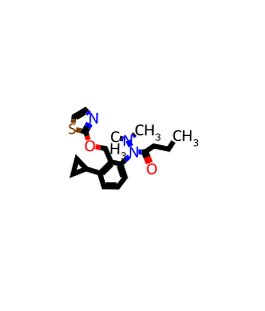 CCCC(=O)N(c1cccc(C2CC2)c1COc1nccs1)N(C)C